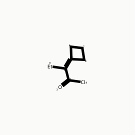 CCC(C(=O)Cl)=C1CCC1